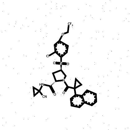 N#CC1(NC(=O)[C@@H]2C[C@@H](S(=O)(=O)c3ccc(OCC(F)(F)F)cc3Cl)CN2C(=O)C2(c3cccc4ccccc34)CC2)CC1